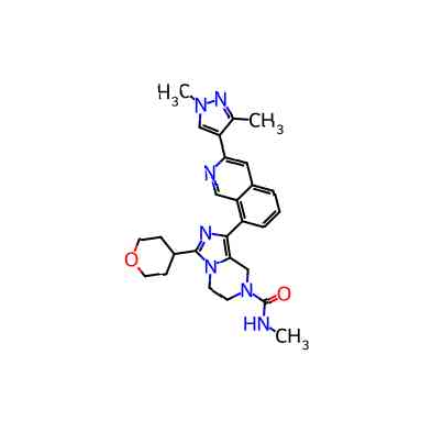 CNC(=O)N1CCn2c(C3CCOCC3)nc(-c3cccc4cc(-c5cn(C)nc5C)ncc34)c2C1